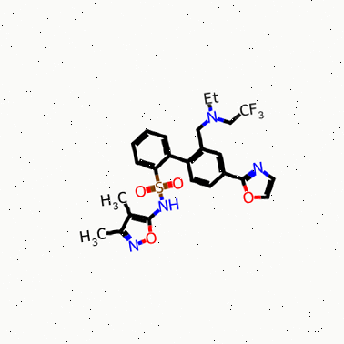 CCN(Cc1cc(-c2ncco2)ccc1-c1ccccc1S(=O)(=O)Nc1onc(C)c1C)CC(F)(F)F